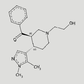 Cc1c([C@H]2[CH]CN(CCO)C[C@@H]2C(=O)c2ccccc2)cnn1C